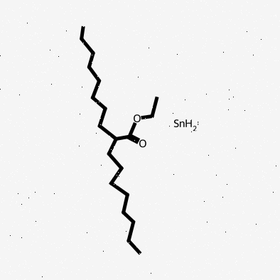 CCCCCCCCC(CCCCCCCC)C(=O)OCC.[SnH2]